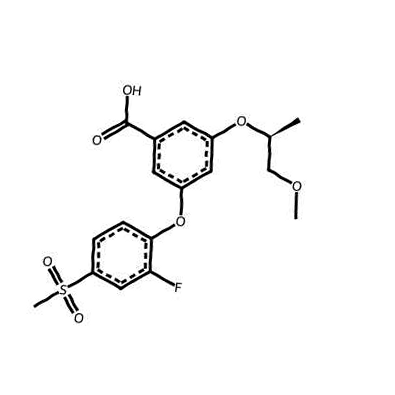 COC[C@H](C)Oc1cc(Oc2ccc(S(C)(=O)=O)cc2F)cc(C(=O)O)c1